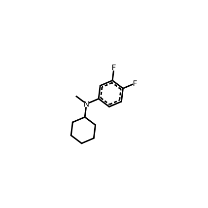 CN(c1ccc(F)c(F)c1)C1CCCCC1